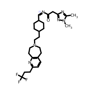 Cc1nc(CC(=O)/N=C\C2CCC(CCN3CCc4ccc(CCC(F)(F)F)nc4CC3)CC2)nn1C